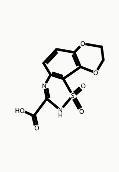 O=C(O)C1=Nc2ccc3c(c2S(=O)(=O)N1)OCCO3